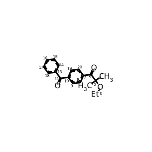 CCOC(C)(C)C(=O)c1ccc(C(=O)c2ccccc2)cc1